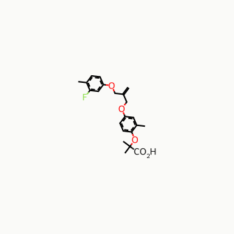 C=C(COc1ccc(OC(C)(C)C(=O)O)c(C)c1)COc1ccc(C)c(F)c1